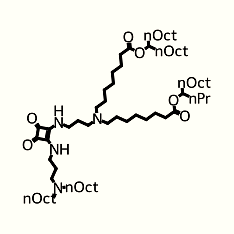 CCCCCCCCC(CCC)OC(=O)CCCCCCCN(CCCCCCCC(=O)OC(CCCCCCCC)CCCCCCCC)CCCNc1c(NCCCN(CCCCCCCC)CCCCCCCC)c(=O)c1=O